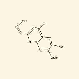 COc1cc2nc(/C=N\O)cc(Cl)c2cc1Br